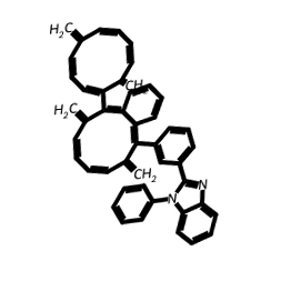 C=c1ccccc(=C)c(-c2c(=C)ccccc(=C)c(-c3cccc(-c4nc5ccccc5n4-c4ccccc4)c3)c3ccccc23)ccc1